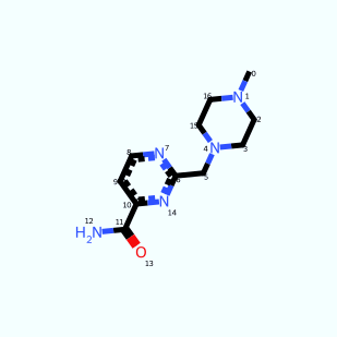 CN1CCN(Cc2nccc(C(N)=O)n2)CC1